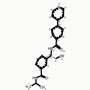 CC(C)NC(=O)c1cccc([C@@H](CO)NC(=O)c2ccc(-c3ccncc3)cc2)c1